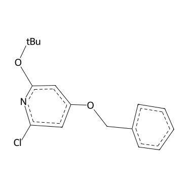 CC(C)(C)Oc1cc(OCc2ccccc2)cc(Cl)n1